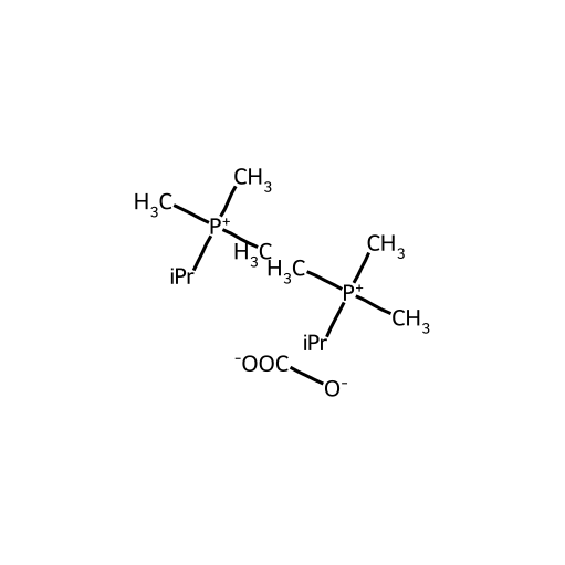 CC(C)[P+](C)(C)C.CC(C)[P+](C)(C)C.O=C([O-])[O-]